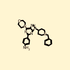 Nc1ccc(-c2nc(N3CCOCC3)c3nnn(C4CCN(Cc5ccccc5)CC4)c3n2)cc1